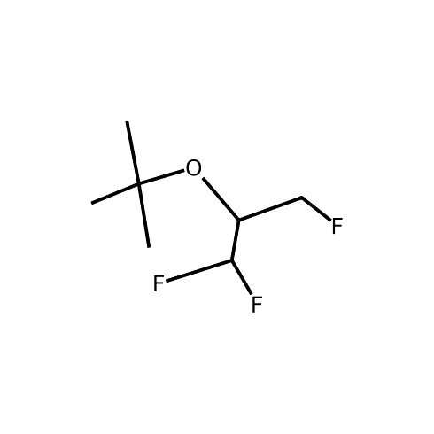 CC(C)(C)OC(CF)C(F)F